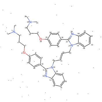 CN(C)CCCOc1ccc(-c2nc3ccccc3n2CC=CCn2c(-c3ccc(OCCCN(C)C)cc3)nc3ccccc32)cc1